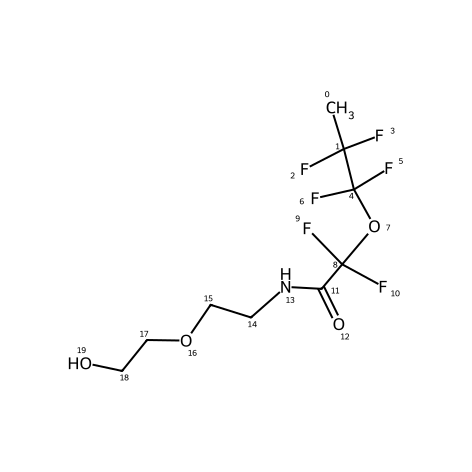 CC(F)(F)C(F)(F)OC(F)(F)C(=O)NCCOCCO